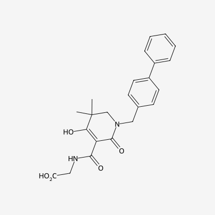 CC1(C)CN(Cc2ccc(-c3ccccc3)cc2)C(=O)C(C(=O)NCC(=O)O)=C1O